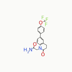 NC(=O)CN1C(=O)CCc2cc(-c3ccc(OC(F)(F)F)cc3)ccc21